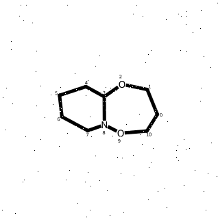 C1COC2CCCCN2OC1